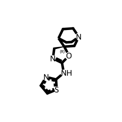 c1csc(NC2=NC[C@@]3(CN4CCC3CC4)O2)n1